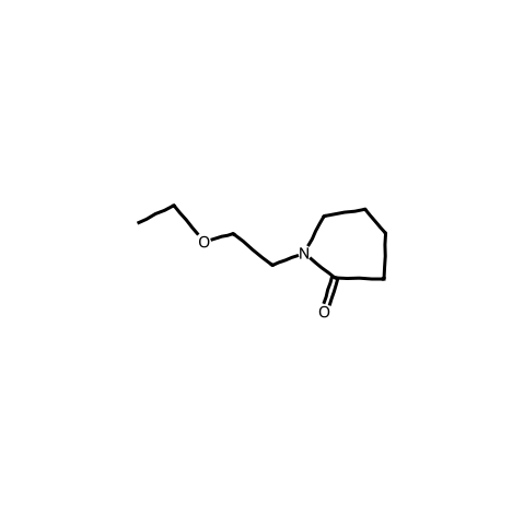 CCOCCN1CCCCC1=O